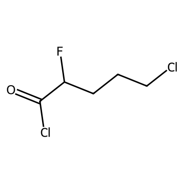 O=C(Cl)C(F)CCCCl